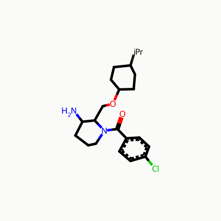 CC(C)C1CCC(OCC2C(N)CCCN2C(=O)c2ccc(Cl)cc2)CC1